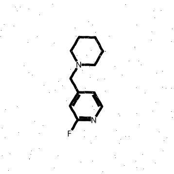 Fc1cc(CN2C[CH]CCC2)ccn1